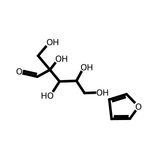 O=CC(O)(CO)C(O)C(O)CO.c1ccoc1